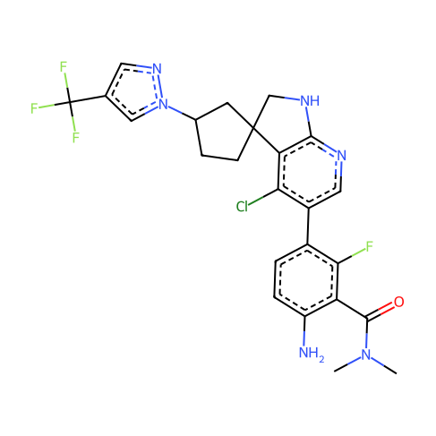 CN(C)C(=O)c1c(N)ccc(-c2cnc3c(c2Cl)C2(CCC(n4cc(C(F)(F)F)cn4)C2)CN3)c1F